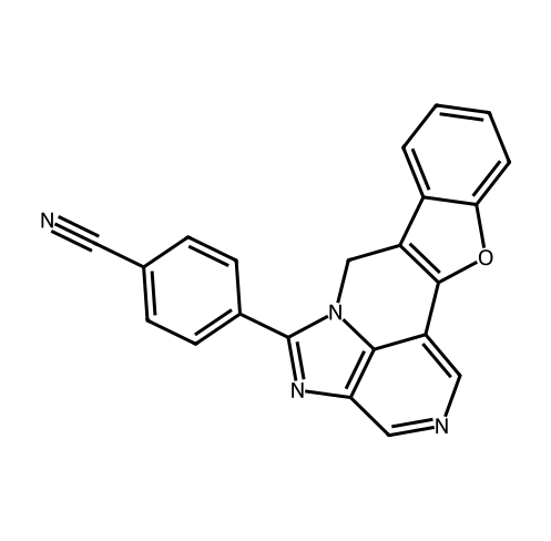 N#Cc1ccc(-c2nc3cncc4c3n2Cc2c-4oc3ccccc23)cc1